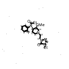 CCC(=O)N(c1ccccc1F)[C@@H]1CCN(CCn2nnn(CC)c2=O)C[C@@H]1OC